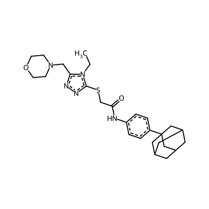 CCn1c(CN2CCOCC2)nnc1SCC(=O)Nc1ccc(C23CC4CC(CC(C4)C2)C3)cc1